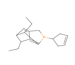 CCC1C2=C3C(CC)C1C=C2CP3C1CC=CC1